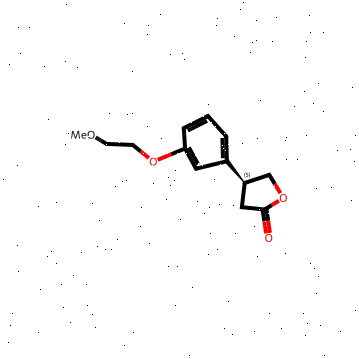 COCCOc1cccc([C@H]2COC(=O)C2)c1